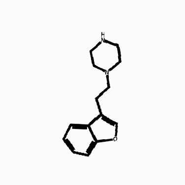 c1ccc2c(CCN3CCNCC3)coc2c1